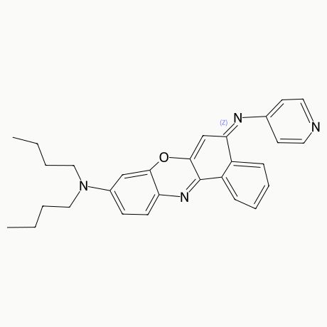 CCCCN(CCCC)c1ccc2nc3c4ccccc4/c(=N\c4ccncc4)cc-3oc2c1